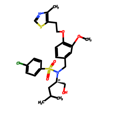 COc1cc(CN([C@H](CO)CC(C)C)S(=O)(=O)c2ccc(Cl)cc2)ccc1OCCc1scnc1C